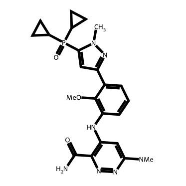 CNc1cc(Nc2cccc(-c3cc(P(=O)(C4CC4)C4CC4)n(C)n3)c2OC)c(C(N)=O)nn1